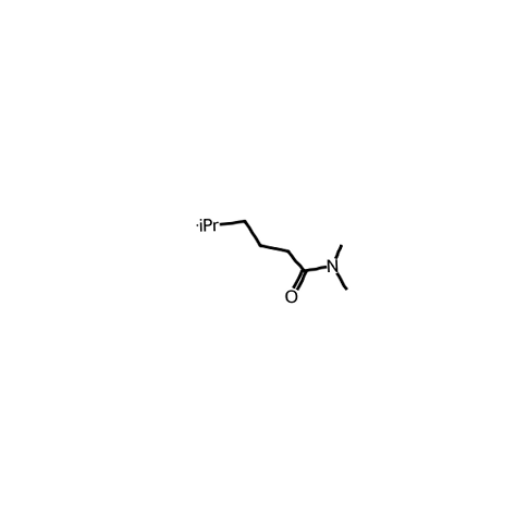 C[C](C)CCCC(=O)N(C)C